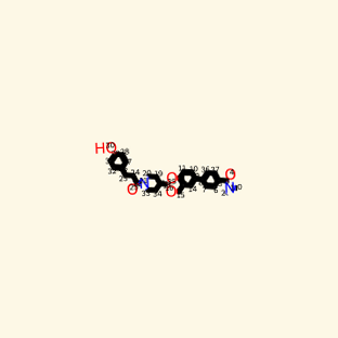 CN(C)C(=O)c1ccc(-c2ccc3c(c2)COC(C2CCN(C(=O)CCc4ccc(O)cc4)CC2)O3)cc1